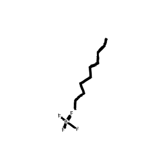 F[B-](F)(F)F.[CH2]CCCCCCCCC